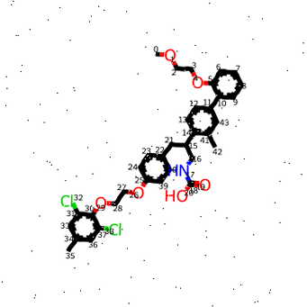 COCCOc1ccccc1-c1ccc(C(CNC(=O)O)Cc2ccc(OCCOc3c(Cl)cc(C)cc3Cl)cc2)c(C)c1